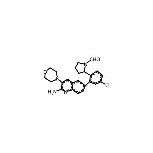 Nc1nc2ccc(-c3cc(Cl)ccc3C3CCCN3C=O)cc2cc1N1CCOCC1